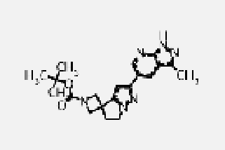 Cc1n[nH]c2ncc(-c3cc4n(n3)CCC43CN(C(=O)OC(C)(C)C)C3)cc12